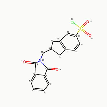 O=C1c2ccccc2C(=O)N1CC1Cc2ccc(S(=O)(=O)Cl)cc2C1